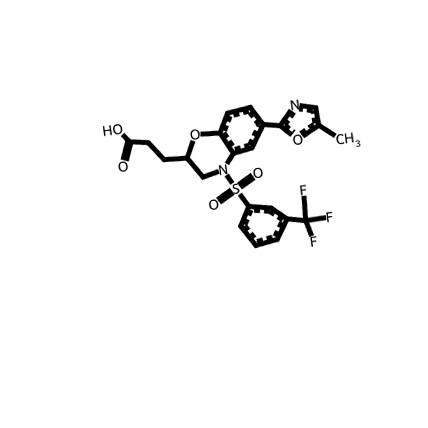 Cc1cnc(-c2ccc3c(c2)N(S(=O)(=O)c2cccc(C(F)(F)F)c2)CC(CCC(=O)O)O3)o1